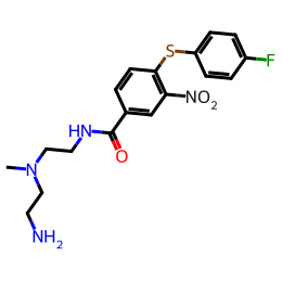 CN(CCN)CCNC(=O)c1ccc(Sc2ccc(F)cc2)c([N+](=O)[O-])c1